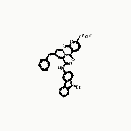 CCCCCc1ccc(C(=O)N2C=C/C(=C/c3ccccc3)C=C2C(=O)Nc2ccc3c(c2)c2ccccc2n3CC)c(=O)o1